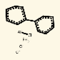 P.[Al+2][Cl].[Cl-].[Cl-].c1ccc(-c2ccccc2)cc1